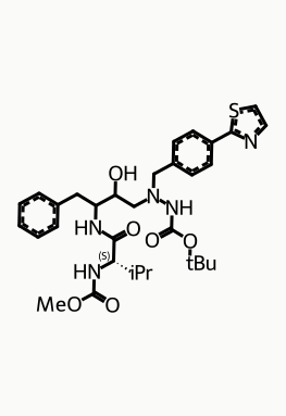 COC(=O)N[C@H](C(=O)NC(Cc1ccccc1)C(O)CN(Cc1ccc(-c2nccs2)cc1)NC(=O)OC(C)(C)C)C(C)C